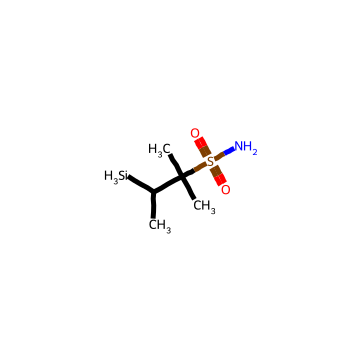 CC([SiH3])C(C)(C)S(N)(=O)=O